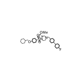 COC(=O)[C@@H]1CN(Cc2ccc(-c3ccc(F)cc3)cc2)CCN1S(=O)(=O)c1ccc(OCC2CCCCC2)cc1